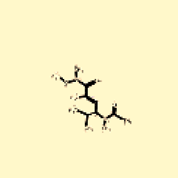 BC(=O)N(C)[C@H](/C=C(\C)C(=O)N(C)OC)C(C)C